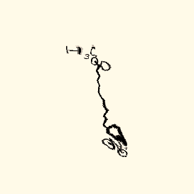 CCOC(=O)CCCCCCCCCC=Cc1cccc([N+](=O)[O-])c1